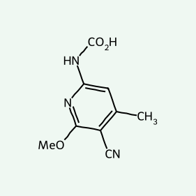 COc1nc(NC(=O)O)cc(C)c1C#N